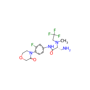 CN(CC(F)(F)F)[C@H](CN)C(=O)Nc1ccc(N2CCOCC2=O)c(F)c1